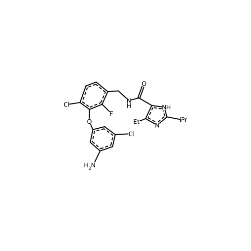 CCc1nc(C(C)C)[nH]c1C(=O)NCc1ccc(Cl)c(Oc2cc(N)cc(Cl)c2)c1F